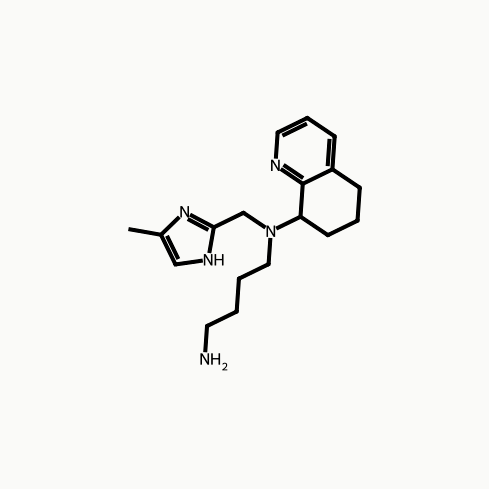 Cc1c[nH]c(CN(CCCCN)C2CCCc3cccnc32)n1